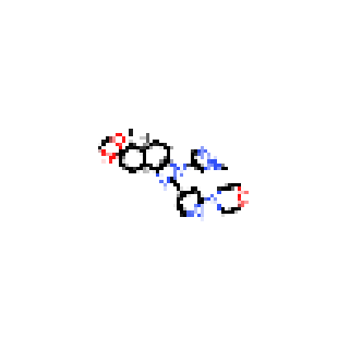 C[C@@H]1[C@H]2CCc3c(nc(-c4ccnc(N5CCOCC5)c4)n3-c3cnn(C)c3)[C@]2(C)CCC12OCCO2